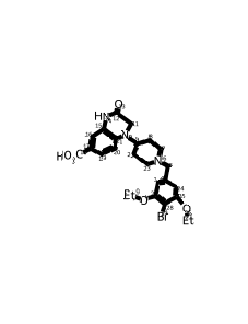 CCOc1cc(CN2CCC(N3CC(=O)Nc4cc(C(=O)O)ccc43)CC2)cc(OCC)c1Br